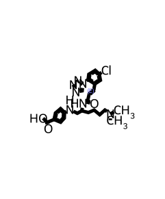 CN(C)CCCCC(CNc1ccc(C(=O)O)cc1)NC(=O)/C=C/c1cc(Cl)ccc1-n1cnnn1